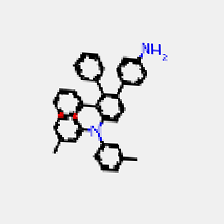 Cc1cccc(N(c2cccc(C)c2)c2ccc(-c3ccc(N)cc3)c(-c3ccccc3)c2-c2ccccc2)c1